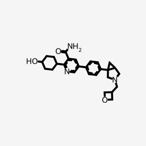 NC(=O)c1cc(-c2ccc(C34CC3CN(CC3COC3)C4)cc2)cnc1C1CCC(O)CC1